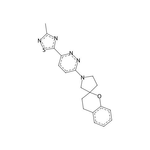 Cc1nsc(-c2ccc(N3CCC4(CCc5ccccc5O4)C3)nn2)n1